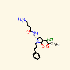 COC(=O)C[C@@H]1C[C@@H](CNC(=O)CCCN)N(CCCc2ccccc2)C1=O.Cl